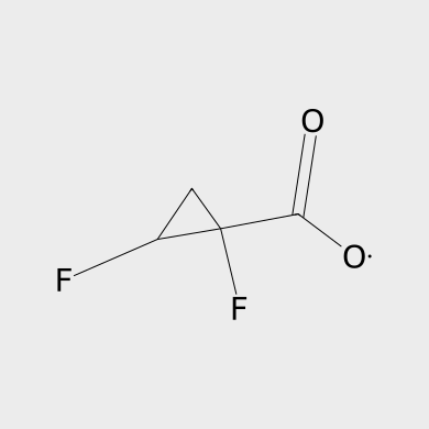 [O]C(=O)C1(F)CC1F